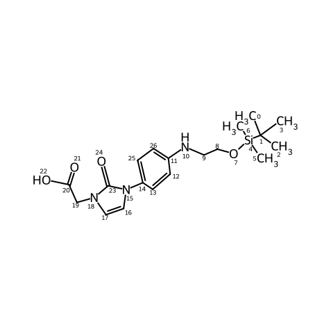 CC(C)(C)[Si](C)(C)OCCNc1ccc(-n2ccn(CC(=O)O)c2=O)cc1